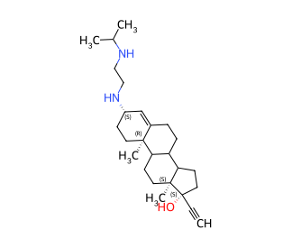 C#C[C@]1(O)CCC2C3CCC4=C[C@@H](NCCNC(C)C)CC[C@]4(C)C3CC[C@@]21C